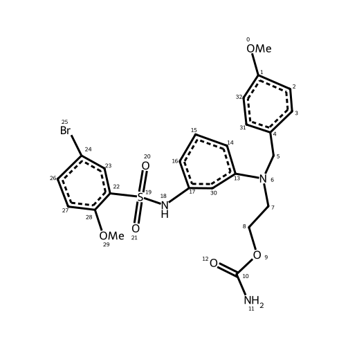 COc1ccc(CN(CCOC(N)=O)c2cccc(NS(=O)(=O)c3cc(Br)ccc3OC)c2)cc1